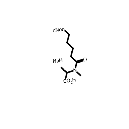 CCCCCCCCCCCCCC(=O)N(C)C(C)C(=O)O.[NaH]